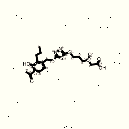 CCCc1c(CSc2nnc(SCCC[S+]([O-])CC(=O)O)s2)ccc(C(C)=O)c1O